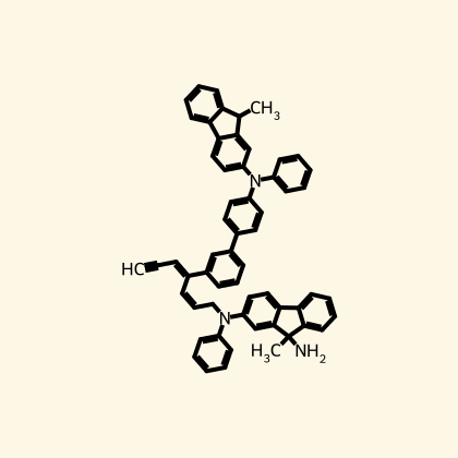 C#C/C=C(\C=C/CN(c1ccccc1)c1ccc2c(c1)C(C)(N)c1ccccc1-2)c1cccc(-c2ccc(N(c3ccccc3)c3ccc4c(c3)C(C)c3ccccc3-4)cc2)c1